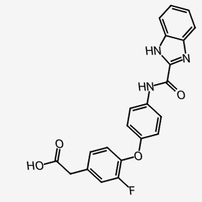 O=C(O)Cc1ccc(Oc2ccc(NC(=O)c3nc4ccccc4[nH]3)cc2)c(F)c1